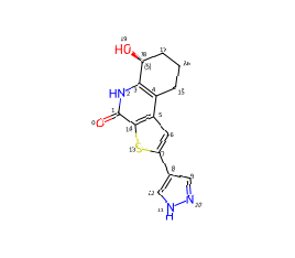 O=c1[nH]c2c(c3cc(-c4cn[nH]c4)sc13)CCC[C@@H]2O